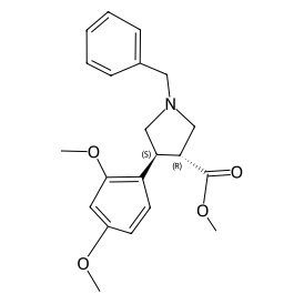 COC(=O)[C@H]1CN(Cc2ccccc2)C[C@@H]1c1ccc(OC)cc1OC